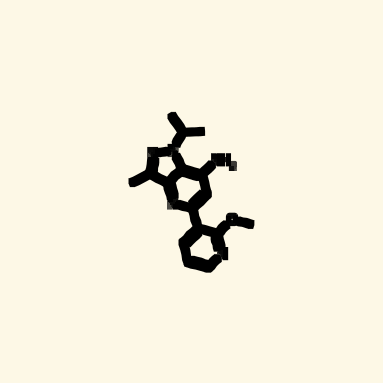 COc1ncccc1-c1cc(N)c2c(n1)c(C)nn2C(C)C